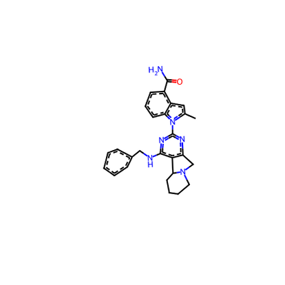 Cc1cc2c(C(N)=O)cccc2n1-c1nc2c(c(NCc3ccccc3)n1)C1CCCCN1C2